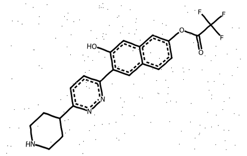 O=C(Oc1ccc2cc(-c3ccc(C4CCNCC4)nn3)c(O)cc2c1)C(F)(F)F